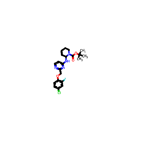 CC(C)(C)OC(=O)N1CCCCC1Nc1ccnc(COc2ccc(Cl)cc2F)n1